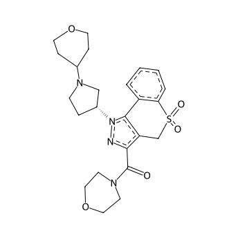 O=C(c1nn([C@@H]2CCN(C3CCOCC3)C2)c2c1CS(=O)(=O)c1ccccc1-2)N1CCOCC1